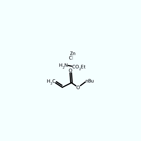 C=CC(=O)OCCCC.CCOC(N)=O.[C].[Zn]